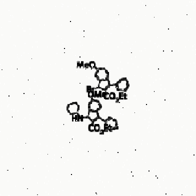 CCOC(=O)C1=C(c2ccccc2)c2ccc(OC)cc2C1Br.CCOC(=O)C1=C(c2ccccc2)c2ccc(OC)cc2C1NC1CCCCC1